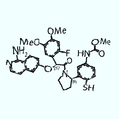 COC(=O)Nc1ccc(S)c([C@H]2CCCN2C(=O)[C@@H](Oc2ccc3c(N)nccc3c2)c2cc(OC)c(OC)cc2F)c1